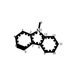 Cn1c2ccc#cc2c2ccccc21